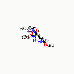 C[C@H](NC(=O)[C@H](CCCNC(=O)OC(C)(C)C)NC(=O)OC(C)(C)C)C(=O)O